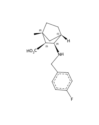 C[C@@]12CC[C@@H](C1)[C@@H](NCc1ccc(F)cc1)[C@H]2C(=O)O